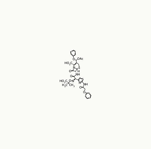 CC(=O)OC(Oc1ccccc1)C1=C(C(=O)O)N2C(=O)[C@@H](NC(=O)/C(=N\OC(C)(C)C(=O)O)c3csc(NC(=O)COc4ccccc4)n3)[C@H]2SC1